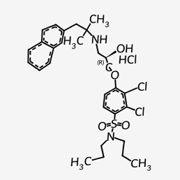 CCCN(CCC)S(=O)(=O)c1ccc(OC[C@H](O)CNC(C)(C)Cc2ccc3ccccc3c2)c(Cl)c1Cl.Cl